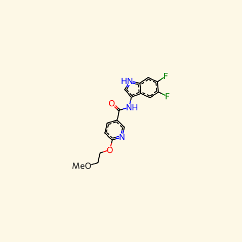 COCCOc1ccc(C(=O)Nc2c[nH]c3cc(F)c(F)cc23)cn1